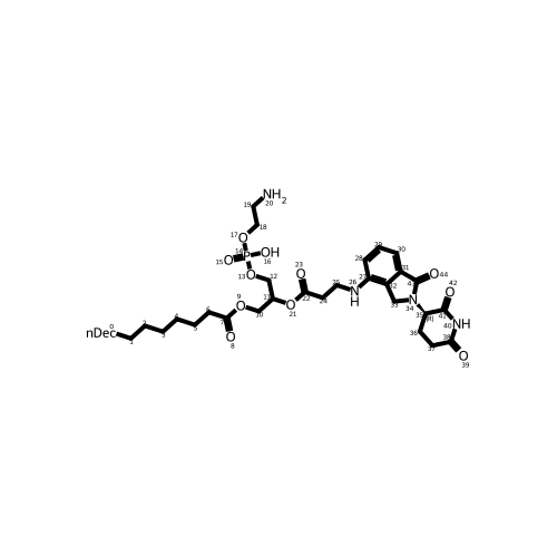 CCCCCCCCCCCCCCCCC(=O)OCC(COP(=O)(O)OCCN)OC(=O)CCNc1cccc2c1CN([C@@H]1CCC(=O)NC1=O)C2=O